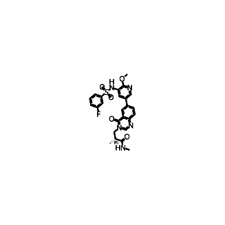 CNC(=O)[C@H](C)Cn1cnc2ccc(-c3cnc(OC)c(NS(=O)(=O)c4cccc(F)c4)c3)cc2c1=O